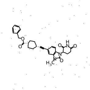 Cn1c(=O)n(C2CCC(=O)NC2=O)c2ccc(C#C[C@H]3CC[C@@H](C(=O)OCc4ccccc4)CC3)cc21